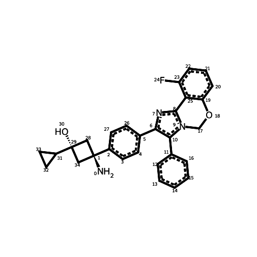 N[C@]1(c2ccc(-c3nc4n(c3-c3ccccc3)COc3cccc(F)c3-4)cc2)C[C@](O)(C2CC2)C1